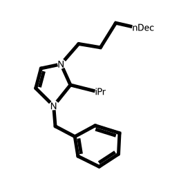 CCCCCCCCCCCCCN1C=CN(Cc2ccccc2)C1C(C)C